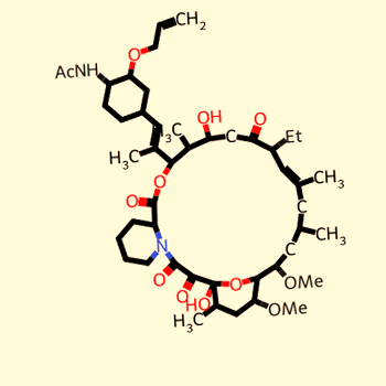 C=CCOC1CC(C=C(C)C2OC(=O)C3CCCCN3C(=O)C(=O)C3(O)OC(C(OC)CC(C)C/C(C)=C/C(CC)C(=O)CC(O)C2C)C(OC)CC3C)CCC1NC(C)=O